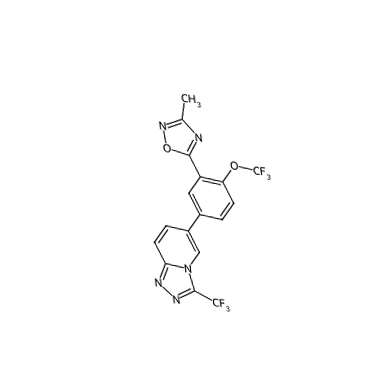 Cc1noc(-c2cc(-c3ccc4nnc(C(F)(F)F)n4c3)ccc2OC(F)(F)F)n1